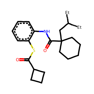 CCC(CC)CC1(C(=O)Nc2ccccc2SC(=O)C2CCC2)CCCCC1